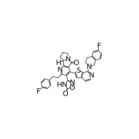 O=C1c2c(nc(CCc3ccc(F)cc3)c(-c3noc(=O)[nH]3)c2-c2cc3ccnc(N4CCc5cc(F)ccc5C4)c3s2)[C@@H]2CCCN12